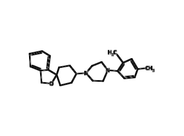 Cc1ccc(N2CCN(C3CCC4(CC3)OCc3ccccc34)CC2)c(C)c1